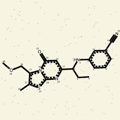 CCC(Nc1cccc(C#N)c1)c1cc(=O)n2c(COC)c(C)sc2n1